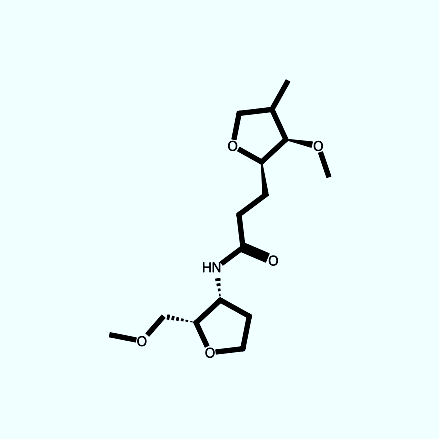 COC[C@H]1OCC[C@H]1NC(=O)CC[C@H]1OCC(C)[C@H]1OC